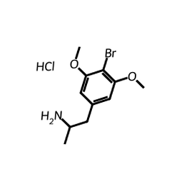 COc1cc(CC(C)N)cc(OC)c1Br.Cl